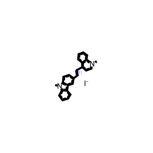 Cn1c2ccccc2c2cc(/C=C/c3cc[n+](C)c4ccccc34)ccc21.[I-]